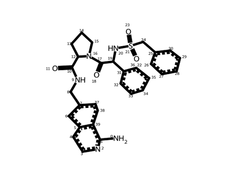 Nc1nccc2cc(CNC(=O)C3CCCN3C(=O)C(NS(=O)(=O)Cc3ccccc3)c3ccccc3)ccc12